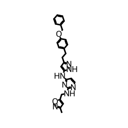 Cc1cc(CNc2nccc(Nc3cc(CCc4ccc(OCc5ccccc5)cc4)n[nH]3)n2)on1